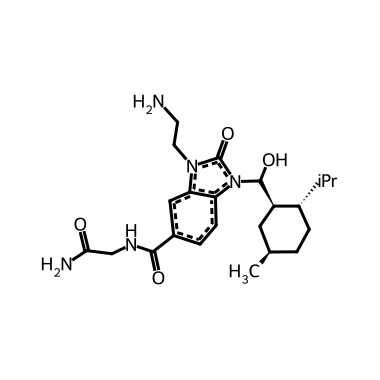 CC(C)[C@@H]1CC[C@@H](C)C[C@H]1C(O)n1c(=O)n(CCN)c2cc(C(=O)NCC(N)=O)ccc21